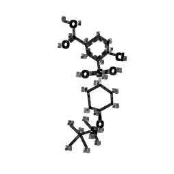 COC(=O)c1ccc(Cl)c(S(=O)(=O)[C@H]2CC[C@H](O[Si](C)(C)C(C)(C)C)CC2)c1